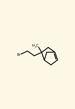 CC1(CCBr)CC2=CCC1C2